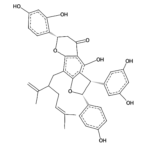 C=C(C)C(CC=C(C)C)Cc1c2c(c(O)c3c1O[C@@H](c1ccc(O)cc1)[C@H]3c1cc(O)cc(O)c1)C(=O)C[C@@H](c1ccc(O)cc1O)O2